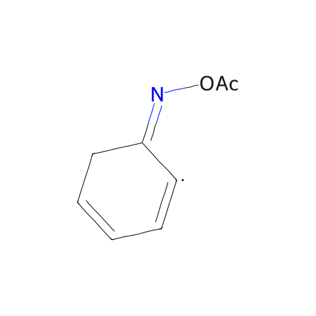 CC(=O)ON=C1[C]=CC=CC1